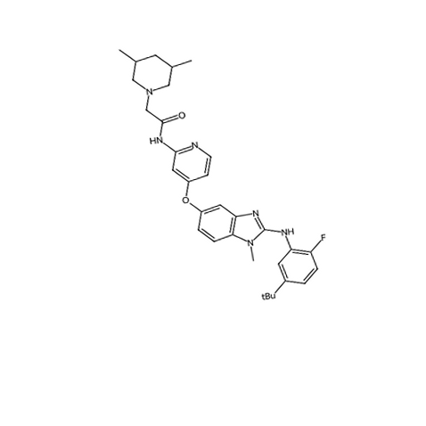 CC1CC(C)CN(CC(=O)Nc2cc(Oc3ccc4c(c3)nc(Nc3cc(C(C)(C)C)ccc3F)n4C)ccn2)C1